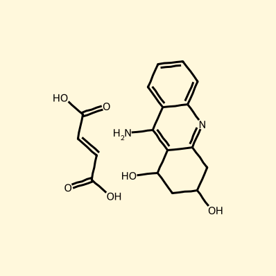 Nc1c2c(nc3ccccc13)CC(O)CC2O.O=C(O)C=CC(=O)O